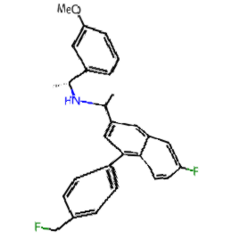 COc1cccc([C@@H](C)NC(C)c2cc(-c3ccc(CF)cc3)c3ccc(F)cc3c2)c1